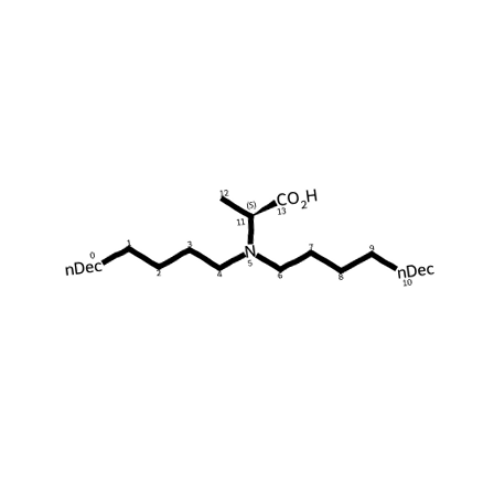 CCCCCCCCCCCCCCN(CCCCCCCCCCCCCC)[C@@H](C)C(=O)O